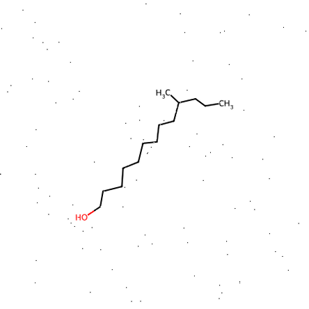 CCCC(C)CCCCCCCCCO